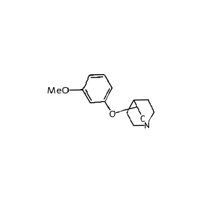 COc1cccc(OC2CN3CCC2CC3)c1